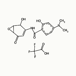 CN(C)c1ccc(C(=O)NC2=CC(=O)C3OC3C2O)c(O)c1.O=C(O)C(F)(F)F